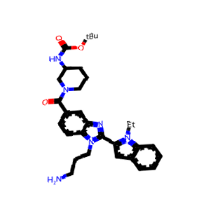 CCn1c(-c2nc3cc(C(=O)N4CCCC(NC(=O)OC(C)(C)C)C4)ccc3n2CCCN)cc2ccccc21